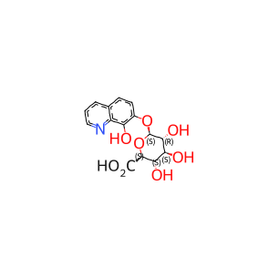 O=C(O)[C@H]1O[C@@H](Oc2ccc3cccnc3c2O)[C@H](O)[C@@H](O)[C@@H]1O